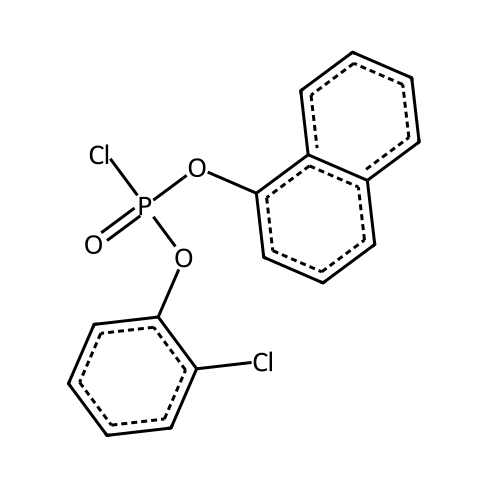 O=P(Cl)(Oc1ccccc1Cl)Oc1cccc2ccccc12